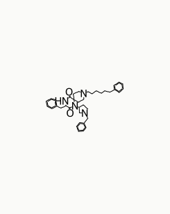 O=C1C(Cc2ccccc2)NC(=O)C2(CCN(CCCCCCc3ccccc3)CC2)N1C1CCN(Cc2ccccc2)C1